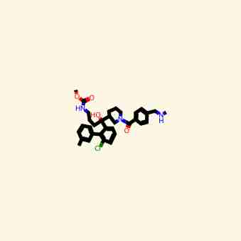 CNCc1ccc(C(=O)N2CCCC(C(O)(CCCNC(=O)OC)c3cccc(Cl)c3-c3cccc(C)c3)C2)cc1